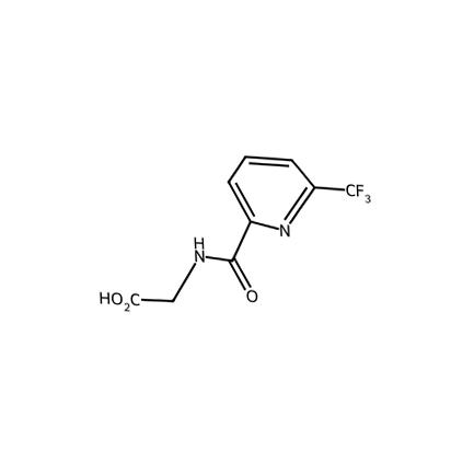 O=C(O)CNC(=O)c1cccc(C(F)(F)F)n1